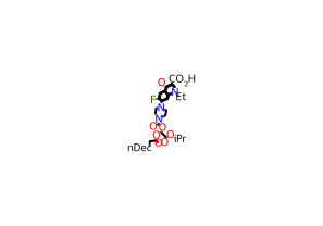 CCCCCCCCCCCC(=O)OC(OC(=O)N1CCN(c2cc3c(cc2F)c(=O)c(C(=O)O)cn3CC)CC1)C(=O)OC(C)C